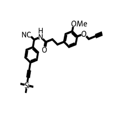 C#CCOc1ccc(CCC(=O)NC(C#N)c2ccc(C#C[Si](C)(C)C)cc2)cc1OC